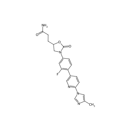 Cc1cn(-c2ccc(-c3ccc(N4CC(CCC(N)=O)OC4=O)cc3F)cn2)cn1